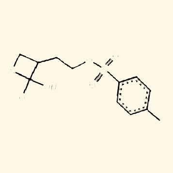 Cc1ccc(S(=O)(=O)OCCC2CSC2(O)O)cc1